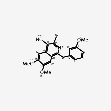 COc1cccc(Cc2nc(C)c(C#N)c3cc(OC)c(OC)cc23)c1